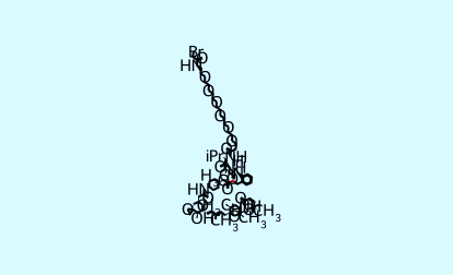 CC(/C=C/[C@H]1O[C@H](CC(=O)N[C@H]2CC[C@H](OC(=O)CCc3ccccc3NC(=O)[C@H](C)NC(=O)[C@@H](NC(=O)CCOCCOCCOCCOCCOCCOCCNC(=O)CBr)C(C)C)CC2)C[C@@]2(CO2)[C@@H]1O)=C\C[C@@H]1O[C@H](C)[C@H](NC(=O)/C=C\[C@H](C)O)C[C@@H]1C